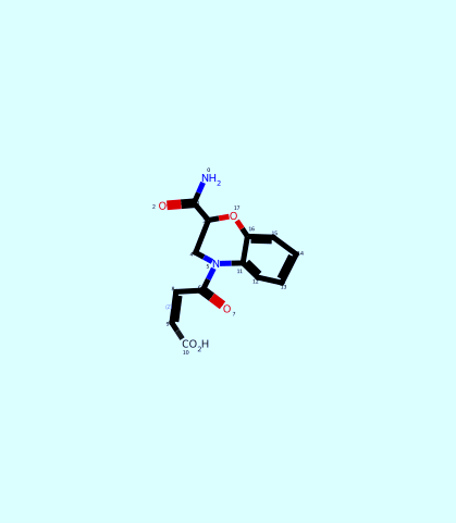 NC(=O)C1CN(C(=O)/C=C\C(=O)O)c2ccccc2O1